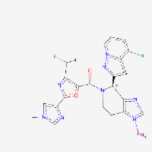 Cn1cnc(-c2nc(C(F)I)c(C(=O)N3CCc4c(ncn4P)[C@@H]3c3cc4c(F)cccn4n3)o2)c1